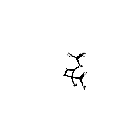 CC(C)C(=O)C1(O)CCC1NC(=N)N